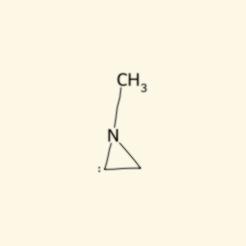 CN1[C]C1